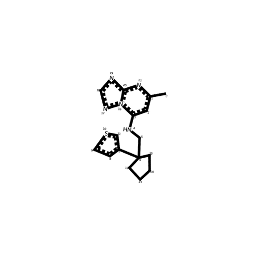 Cc1cc(NCC2(c3ccsc3)CCCC2)n2ncnc2n1